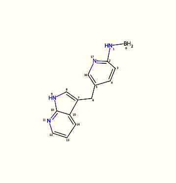 BNc1ccc(Cc2c[nH]c3ncccc23)cn1